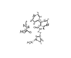 Cn1cnc(CCN2Cc3nccc(-c4ccncc4)c3C2=O)c1.O=C(O)C(F)(F)F